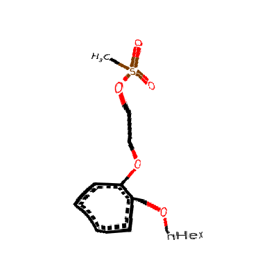 CCCCCCOc1ccccc1OCCOS(C)(=O)=O